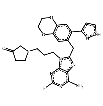 Nc1nc(F)nc2c1nc(Cc1cc3c(cc1-c1cc[nH]n1)OCCO3)n2CCCN1CCC(=O)C1